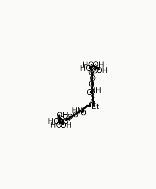 CCN(CCCCCC(=O)NCCOCCOCCO[C@H]1OC(CO)[C@@H](O)[C@H](O)C1O)CCCCCC(=O)NCCOCCOCCO[C@H]1OC(CO)[C@@H](O)[C@H](O)C1O